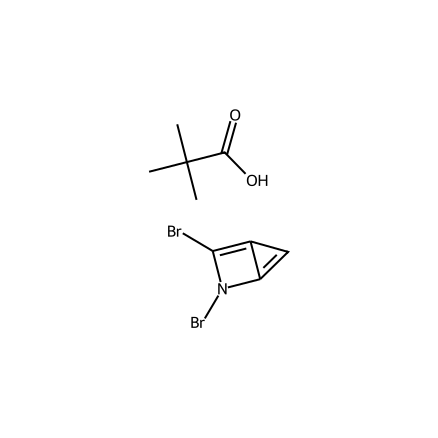 Brc1c2cc-2n1Br.CC(C)(C)C(=O)O